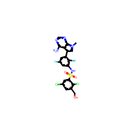 Cn1cc(-c2cc(F)cc(NS(=O)(=O)c3cc(Cl)cc(CO)c3Cl)c2F)c2c(N)ncnc21